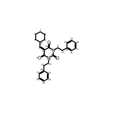 O=C1C(=CC2CCCCC2)C(=O)N(CCc2ccccc2)C(=O)N1CCc1ccccc1